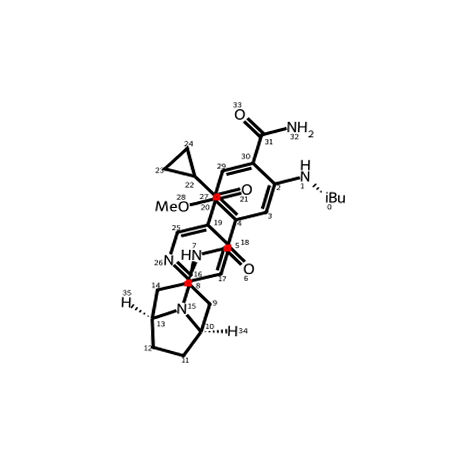 CC[C@@H](C)Nc1cc(C(=O)N[C@H]2C[C@H]3CC[C@@H](C2)N3c2ccc(C(=O)C3CC3)cn2)c(OC)cc1C(N)=O